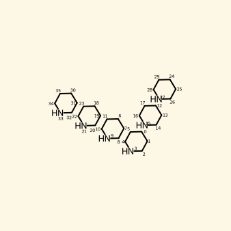 C1CCNCC1.C1CCNCC1.C1CCNCC1.C1CCNCC1.C1CCNCC1.C1CCNCC1